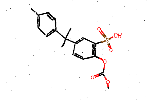 COC(=O)Oc1ccc(C(C)(C)c2ccc(C)cc2)cc1S(=O)(=O)O